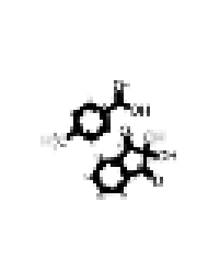 Cc1ccc(C(=O)O)cc1.O=C1c2ccccc2C(=O)C1(O)O